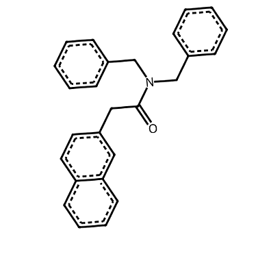 O=C(Cc1ccc2ccccc2c1)N(Cc1ccccc1)Cc1ccccc1